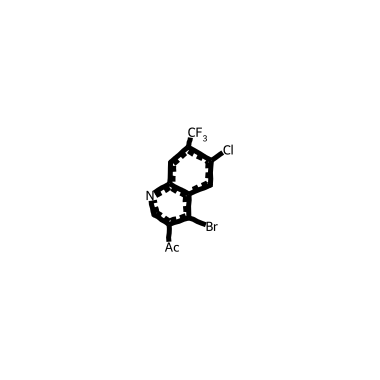 CC(=O)c1cnc2cc(C(F)(F)F)c(Cl)cc2c1Br